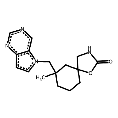 CC1(Cn2ccc3ncncc32)CCCC2(CNC(=O)O2)C1